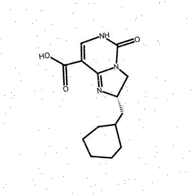 O=C(O)C1=CNC(=O)N2C[C@H](CC3CCCCC3)N=C12